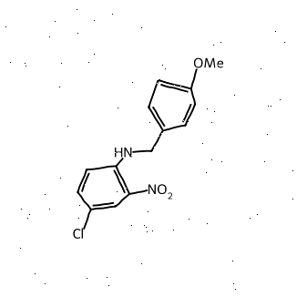 COc1ccc(CNc2ccc(Cl)cc2[N+](=O)[O-])cc1